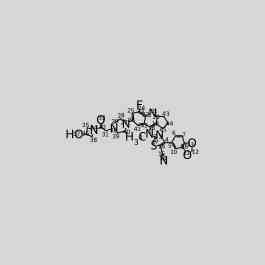 CN(c1nc(-c2ccc3c(c2)OCO3)c(C#N)s1)c1c2c(nc3c(F)cc(N4CCN(CC(=O)N5CC(O)C5)CC4)cc13)CCC2